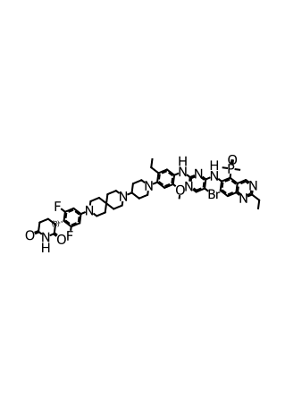 CCc1ncc2c(P(C)(C)=O)c(Nc3nc(Nc4cc(CC)c(N5CCC(N6CCC7(CCN(c8cc(F)c([C@H]9CCC(=O)NC9=O)c(F)c8)CC7)CC6)CC5)cc4OC)ncc3Br)ccc2n1